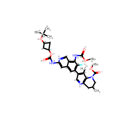 CCCCOC(=O)N1CC(C)Cc2ncc(-c3cc4cc(NC(=O)OC5CC(O[Si](C)(C)C(C)(C)C)C5)ncc4c(NC(=O)OC(C)(C)C)c3F)c(C)c21